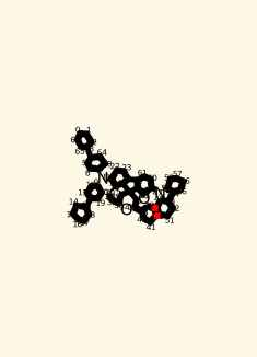 c1ccc(-c2ccc(N(c3ccc(-c4ccccc4)cc3)c3ccc4c(c3)C3(c5ccccc5Oc5c3oc3ccccc53)c3cc(-n5c6ccccc6c6ccccc65)ccc3-4)cc2)cc1